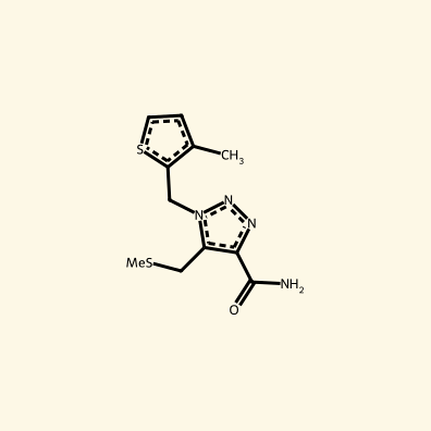 CSCc1c(C(N)=O)nnn1Cc1sccc1C